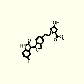 COC(=O)C1CC(O)CN1CCc1ccc2c(c1)COC2=C1C(=O)Nc2ccc(F)cc21